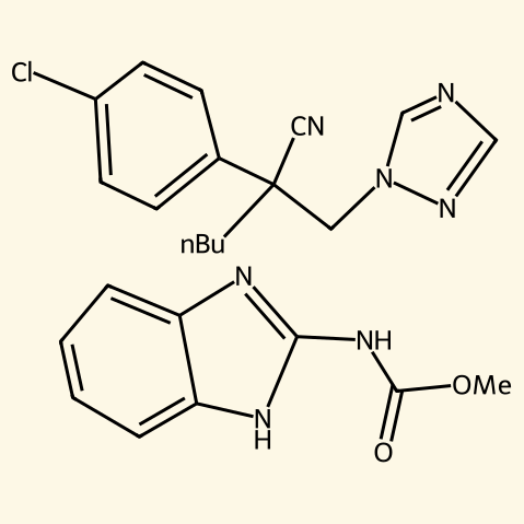 CCCCC(C#N)(Cn1cncn1)c1ccc(Cl)cc1.COC(=O)Nc1nc2ccccc2[nH]1